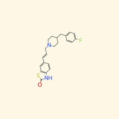 O=c1[nH]c2ccc(C=CCN3CCC(Cc4ccc(F)cc4)CC3)cc2s1